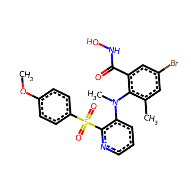 COc1ccc(S(=O)(=O)c2ncccc2N(C)c2c(C)cc(Br)cc2C(=O)NO)cc1